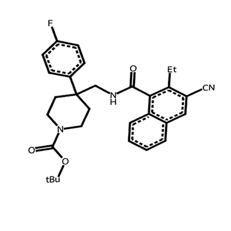 CCc1c(C#N)cc2ccccc2c1C(=O)NCC1(c2ccc(F)cc2)CCN(C(=O)OC(C)(C)C)CC1